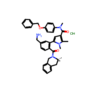 Cc1c(C(=O)N(C)c2ccc(OCc3ccccc3)cc2)cc(-c2cc(CN)ccc2C(=O)N2Cc3ccccc3C[C@H]2C)n1C.Cl